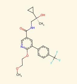 COCCOc1ncc(C(=O)NC[C@](C)(O)C2CC2)cc1-c1ccc(C(F)(F)F)cc1